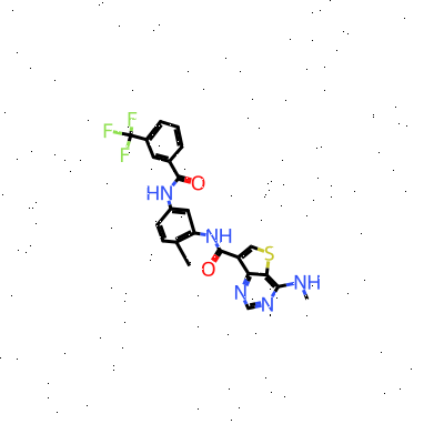 CNc1ncnc2c(C(=O)Nc3cc(NC(=O)c4cccc(C(F)(F)F)c4)ccc3C)csc12